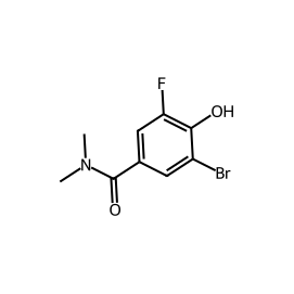 CN(C)C(=O)c1cc(F)c(O)c(Br)c1